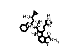 NC(=O)c1c(F)ccc2[nH]c(C(=O)N[C@@H](CC3CCCCC3)[C@@H](O)[C@@H](O)C3CC3)c(CCc3c[nH]cn3)c12